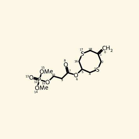 C=C1CSCC(OC(=O)CCOP(=O)(OC)OC)CSC1